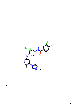 Cc1cnc(NC2CCC(NC(=O)c3ccc(F)c(Cl)c3)CC2)cc1-n1ccnc1.Cl.Cl